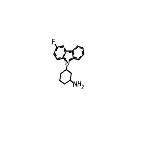 NC1CCCC(n2c3ccccc3c3cc(F)ccc32)C1